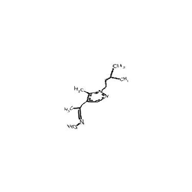 CC(=NO)c1cnn(CC(C)C)c1C